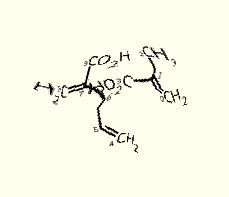 C=C(C)C(=O)O.C=CCC(=C)C(=O)O